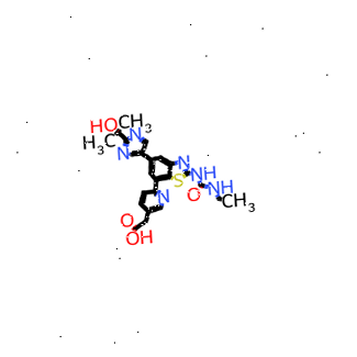 CCNC(=O)Nc1nc2cc(-c3cnc(C(C)(C)O)nc3)cc(-c3ccc(CC(=O)O)cn3)c2s1